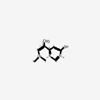 CN(C)/C=C(/C=O)c1cc(S)ncn1